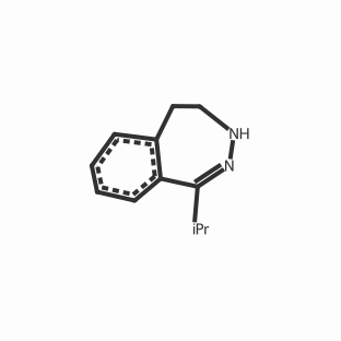 CC(C)C1=NNCCc2ccccc21